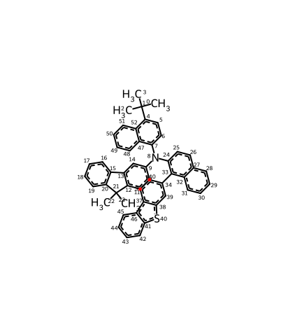 CC(C)(C)c1ccc(N(c2ccc3c(c2)-c2ccccc2C3(C)C)c2ccc3ccccc3c2-c2ccc3c(c2)sc2ccccc23)c2ccccc12